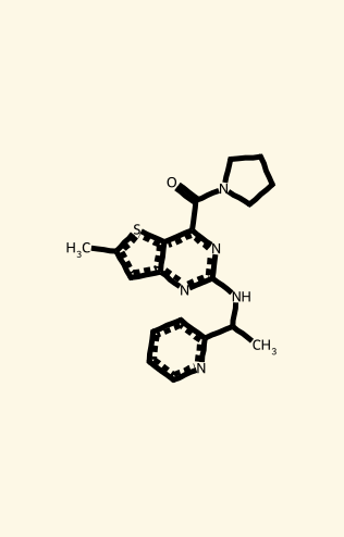 Cc1cc2nc(NC(C)c3ccccn3)nc(C(=O)N3CCCC3)c2s1